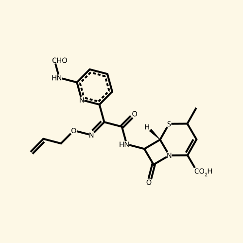 C=CCON=C(C(=O)NC1C(=O)N2C(C(=O)O)=CC(C)S[C@@H]12)c1cccc(NC=O)n1